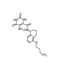 CCCCOc1cccc2c1CCC[C@@H]2NC(=O)c1[nH]c(=O)[nH]c(=O)c1N